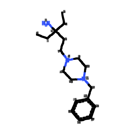 CCC(N)(CC)CCN1CCN(Cc2ccccc2)CC1